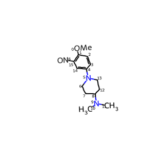 COc1ccc(N2CCC(N(C)C)CC2)cc1N=O